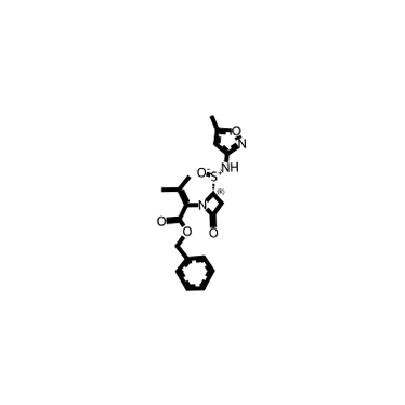 CC(C)=C(C(=O)OCc1ccccc1)N1C(=O)C[C@H]1[S+]([O-])Nc1cc(C)on1